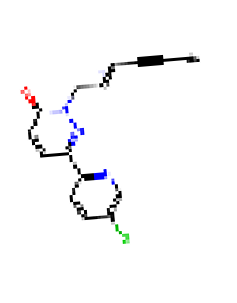 CC(C)(C)C#C/C=C/Cn1nc(-c2ccc(Cl)cn2)ccc1=O